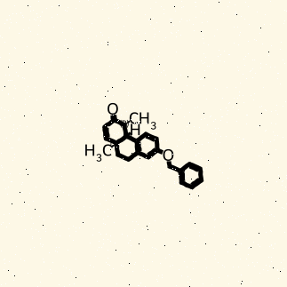 C[C@H]1C(=O)C=C[C@]2(C)CCc3cc(OCc4ccccc4)ccc3[C@@H]12